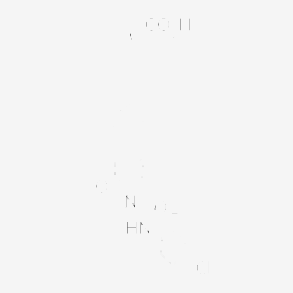 CC1CN(C(=O)Nc2ccc(Cl)cc2F)c2ccc(-c3ccc([C@H]4CC[C@H](CC(=O)O)CC4)cc3)cc2O1